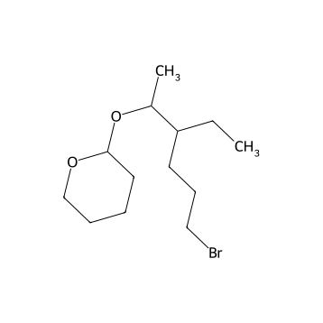 CCC(CCCBr)C(C)OC1CCCCO1